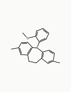 COc1ccccc1N1c2ccc(C)cc2CCc2cc(C)ccc21